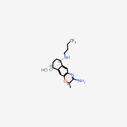 C[C@H]1Oc2cc3c(cc2N=C1N)[C@@H](NCCCC(F)(F)F)CCC3.Cl.Cl